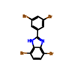 Brc1cc(Br)cc(-c2nc3c(Br)ccc(Br)c3[nH]2)c1